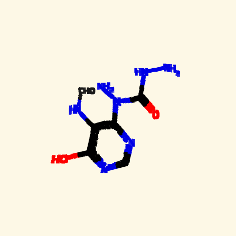 NNC(=O)N(N)c1ncnc(O)c1NC=O